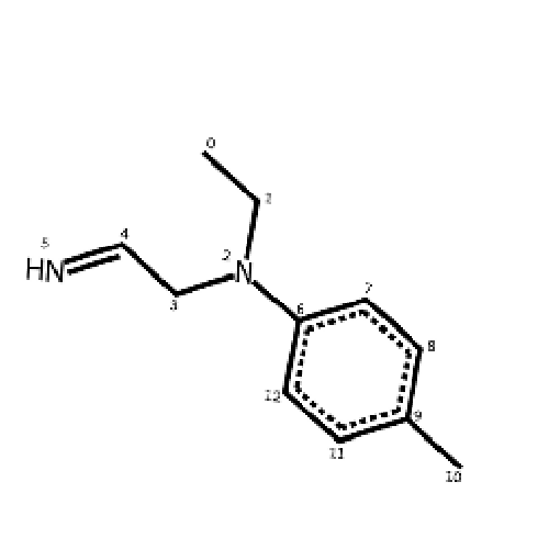 CCN(CC=N)c1ccc(C)cc1